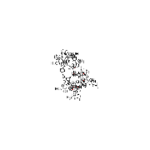 CC(C)C[C@H](C(=O)N[C@H]1C(=O)C[C@@H](CC(N)=O)C(=O)N[C@H]2C(=O)C[C@H]3C(=O)N[C@H](C(=O)N[C@H](C(=O)CC4C5CC6CC(C5)CC4C6)c4cc(O)cc(O)c4-c4cc3ccc4O)[C@H](OC3CC(C)(NC(=O)OC(C)(C)C)C(O)C(C)O3)c3ccc(cc3)Oc3cc2cc(c3OC2OC(CO)C(O)C(O)C2OC2CC(C)(NC(=O)OC(C)(C)C)C(O)C(C)O2)Oc2ccc(cc2Cl)[C@H]1O)N(C)C(=O)OC(C)(C)C